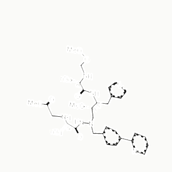 CCCC[C@H](NCOOC)C(=O)N[C@@H](Cc1ccccc1)[C@H](CN(Cc1ccc(-c2ccccn2)cc1)NC(=O)[C@H](CCCC)NCC(=O)OC)OC